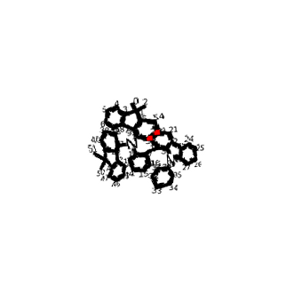 CC1(C)c2ccccc2-c2c(N(c3ccccc3-c3cccc4c5ccccc5n(-c5ccccc5)c34)c3cccc4c3-c3ccccc3C4(C)C)cccc21